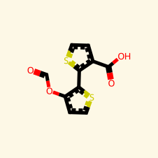 O=COc1ccsc1-c1sccc1C(=O)O